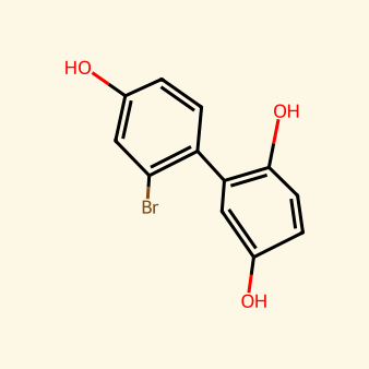 Oc1ccc(-c2cc(O)ccc2O)c(Br)c1